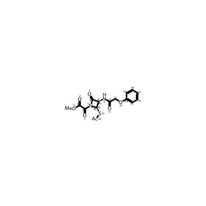 COC(=O)C(=O)N1C(=O)[C@@H](NC(=O)COc2ccccc2)[C@H]1SC(C)=O